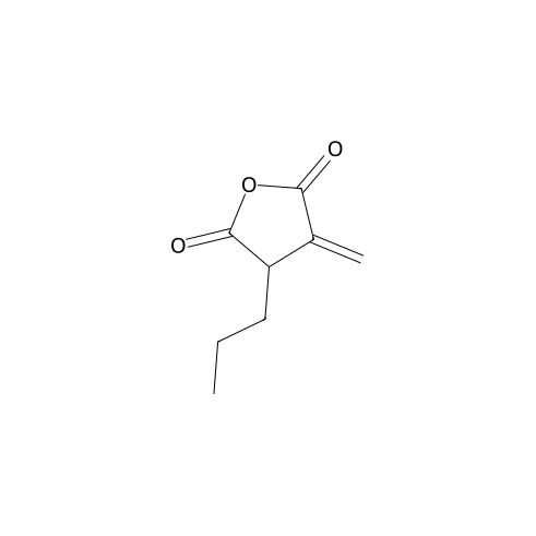 C=C1C(=O)OC(=O)C1CCC